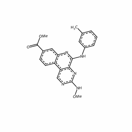 CONc1ncc2c(n1)c(Nc1cccc(C)c1)nc1cc(C(=O)OC)ccc12